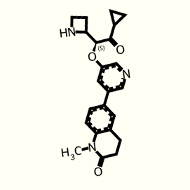 CN1C(=O)CCc2cc(-c3cncc(O[C@H](C(=O)C4CC4)C4CCN4)c3)ccc21